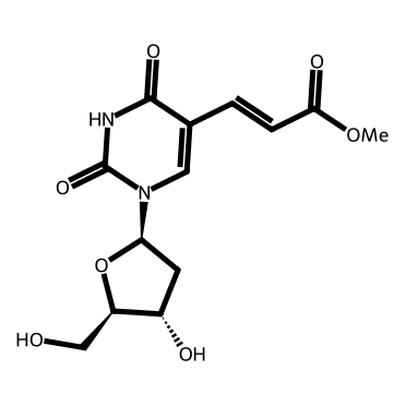 COC(=O)/C=C/c1cn([C@H]2C[C@H](O)[C@@H](CO)O2)c(=O)[nH]c1=O